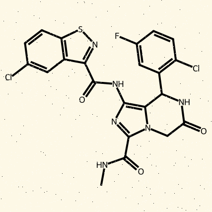 CNC(=O)c1nc(NC(=O)c2nsc3ccc(Cl)cc23)c2n1CC(=O)NC2c1cc(F)ccc1Cl